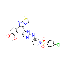 COc1ccc(-c2nc3sccn3c2-c2ccnc(N[C@H]3CCCN(S(=O)(=O)c4ccc(Cl)cc4)C3)n2)cc1OC